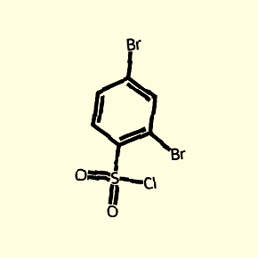 O=S(=O)(Cl)c1ccc(Br)cc1Br